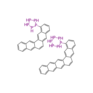 c1ccc2cc3c(ccc4cc5cccc(-p6[pH][pH][pH][pH]6)c5cc43)cc2c1.c1ccc2cc3cc4c(ccc5cc6cccc(P7PPPPP7)c6cc54)cc3cc2c1